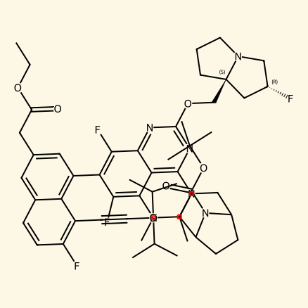 CCOC(=O)Cc1cc(-c2c(F)c(OC)c3c(N4CC5CCC(C4)N5C(=O)OC(C)(C)C)nc(OC[C@@]45CCCN4C[C@H](F)C5)nc3c2F)c2c(C#C[Si](C(C)C)(C(C)C)C(C)C)c(F)ccc2c1